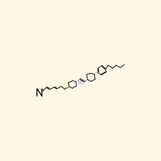 CCCCCc1ccc([C@H]2CC[C@H](/C=C/[C@H]3CC[C@H](CCC=CC=CC#N)CC3)CC2)cc1